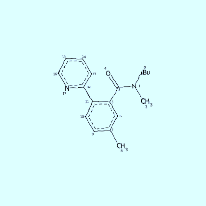 CCC(C)N(C)C(=O)c1cc(C)ccc1-c1ccccn1